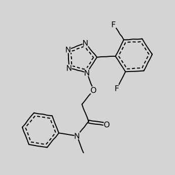 CN(C(=O)COn1nnnc1-c1c(F)cccc1F)c1ccccc1